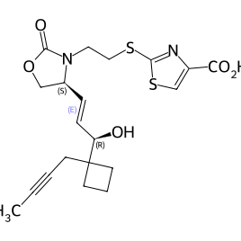 CC#CCC1([C@H](O)/C=C/[C@H]2COC(=O)N2CCSc2nc(C(=O)O)cs2)CCC1